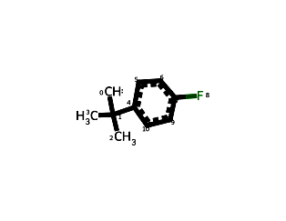 [CH]C(C)(C)c1ccc(F)cc1